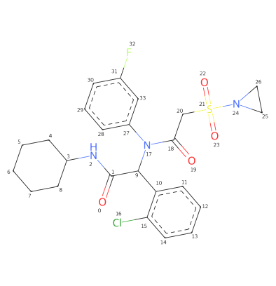 O=C(NC1CCCCC1)C(c1ccccc1Cl)N(C(=O)CS(=O)(=O)N1CC1)c1cccc(F)c1